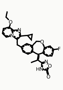 CCOc1cccn2c(Cc3ccc4c(c3)COc3cc(F)ccc3C4=C(C)c3noc(=O)[nH]3)c(C3CC3)nc12